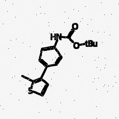 Cc1sccc1-c1ccc(NC(=O)OC(C)(C)C)cc1